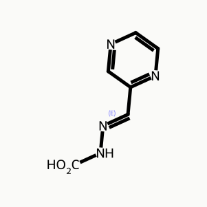 O=C(O)N/N=C/c1cnccn1